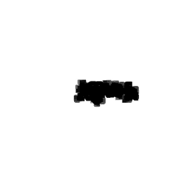 CCNC(C(=O)N1CCCC1C(=O)NC(C)c1ccc(-c2scnc2C)cc1)C(C)(C)C